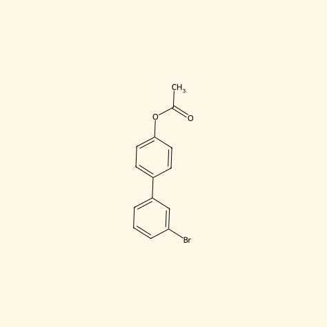 CC(=O)Oc1ccc(-c2cccc(Br)c2)cc1